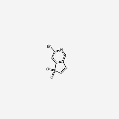 O=S1(=O)C=Cc2cnc(Br)cc21